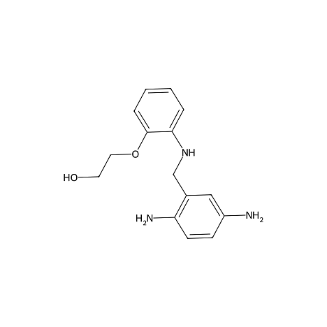 Nc1ccc(N)c(CNc2ccccc2OCCO)c1